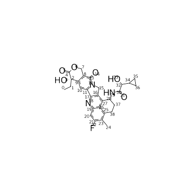 CC[C@@]1(O)C(=O)OCc2c1cc1n(c2=O)Cc2c-1nc1cc(F)c(C)c3c1c2[C@H](NC(=O)C(O)C1CC1)CC3